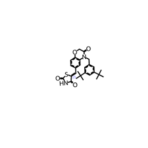 CC(C)(C)c1cc(CN2C(=O)COc3ccc(/C=C4\SC(=O)NC4=O)cc32)cc(C(C)(C)C)c1